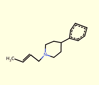 CC=CCN1CCC(c2ccccc2)CC1